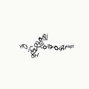 CCCCCCCOc1ccc(-c2cnc(-c3ccc(C[C@H](NC(=O)c4ccc(C(C)(C)C)s4)C(=O)N4C[C@H](O)C[C@H]4C(=O)O)cc3)nc2)cc1